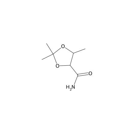 CC1OC(C)(C)OC1C(N)=O